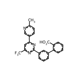 Cc1ccc(-c2cc(C(F)(F)F)nc(-c3cccc(-c4ccccc4C(=O)O)c3)n2)cn1